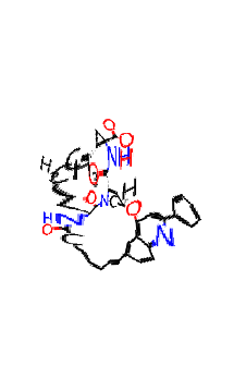 C=C[C@@H]1C[C@]1(NC(=O)[C@@H]1C[C@@H]2CN1C(=O)[C@H](CCCC)NC(=O)CCCC/C=C/c1ccc3nc(-c4ccccc4)cc(c3c1)O2)C(=O)O